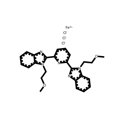 COCCn1c(-c2cccc(-c3nc4ccccc4n3CCOC)n2)nc2ccccc21.[Cl-].[Cl-].[Cl-].[Fe+3]